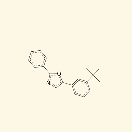 CC(C)(C)c1cccc(-c2cnc(-c3ccccc3)o2)c1